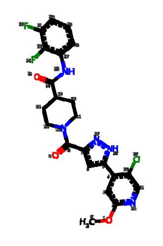 COc1cc(-c2cc(C(=O)N3CCC(C(=O)Nc4cccc(F)c4F)CC3)n[nH]2)c(Cl)cn1